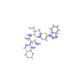 C=N/C(NC1CCCCC1)=C(/C=N)C(=C)NCC(CC)CC(=N)SC(=CC)n1nnc2ccccc21